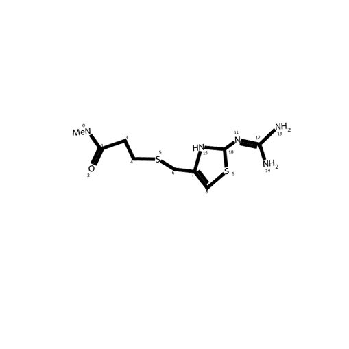 CNC(=O)CCSCC1=CSC(N=C(N)N)N1